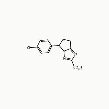 O=C(O)c1nc2n(n1)C(c1ccc(Cl)cc1)CC2